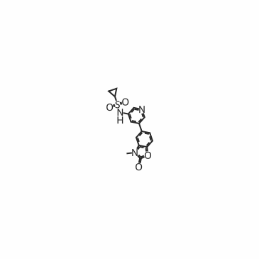 Cn1c(=O)oc2ccc(-c3cncc(NS(=O)(=O)C4CC4)c3)cc21